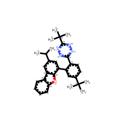 CC(C)c1cc(-c2cc(C(C)(C)C)ccc2-c2nnc(C(C)(C)C)nn2)c2oc3ccccc3c2c1